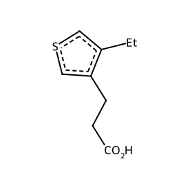 CCc1cscc1CCC(=O)O